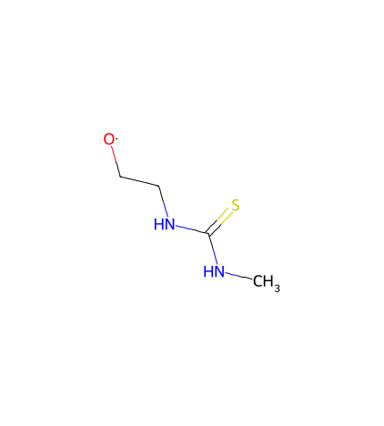 CNC(=S)NCC[O]